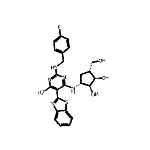 Cc1nc(NCc2ccc(F)cc2)nc(N[C@@H]2C[C@H](CO)[C@@H](O)[C@H]2O)c1-c1nc2ccccc2s1